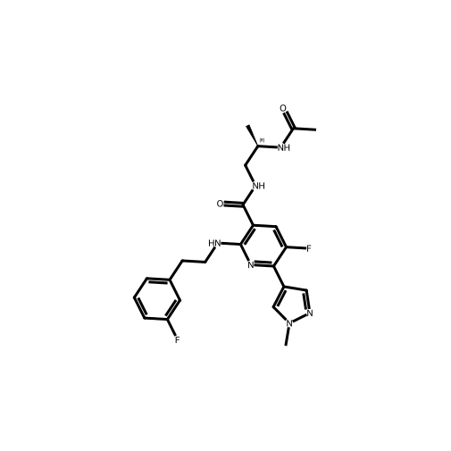 CC(=O)N[C@H](C)CNC(=O)c1cc(F)c(-c2cnn(C)c2)nc1NCCc1cccc(F)c1